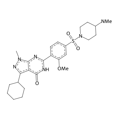 CNC1CCN(S(=O)(=O)c2ccc(-c3nc4c(c(C5CCCCC5)nn4C)c(=O)[nH]3)c(OC)c2)CC1